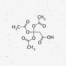 CC(=O)OC(CC(=O)O)(OC(C)=O)OC(C)=O